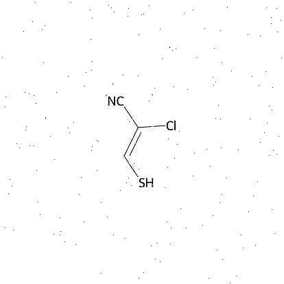 N#CC(Cl)=CS